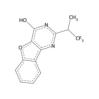 CC(c1nc(O)c2oc3ccccc3c2n1)C(F)(F)F